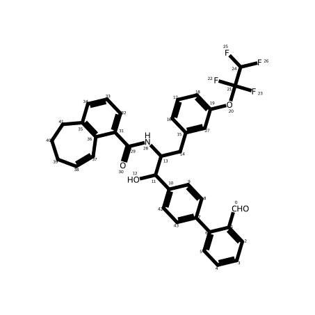 O=Cc1ccccc1-c1ccc(C(O)C(Cc2cccc(OC(F)(F)C(F)F)c2)NC(=O)c2cccc3c2C=CCCC3)cc1